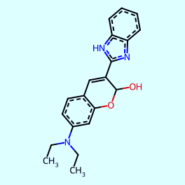 CCN(CC)c1ccc2c(c1)OC(O)C(c1nc3ccccc3[nH]1)=C2